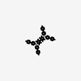 Cc1ccc(-c2ccc(N(c3ccc(-c4ccc(C)cc4)cc3)c3c(C)c(C)c(-c4c(C)c(C)c(N(c5ccc(-c6ccc(C)cc6)cc5)c5ccc(-c6ccc(C)cc6)cc5)c(C)c4C)c(C)c3C)cc2)cc1